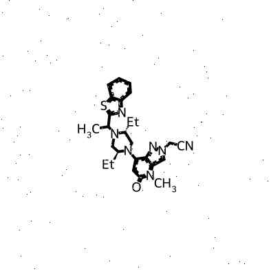 CC[C@H]1CN(C(C)c2nc3ccccc3s2)[C@H](CC)CN1c1cc(=O)n(C)c2cn(CC#N)nc12